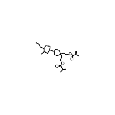 C=C(C)C(=O)OCCC1(CCOC(=O)C(=C)C)CCC(C2CCC(CCC)C(C)C2)CC1